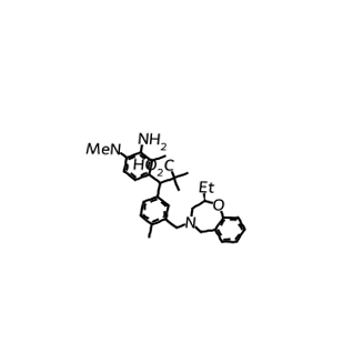 CC[C@@H]1CN(Cc2cc(C(c3ccc(NC)c(N)c3C)C(C)(C)C(=O)O)ccc2C)Cc2ccccc2O1